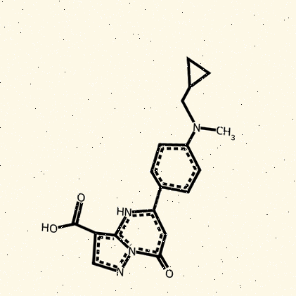 CN(CC1CC1)c1ccc(-c2cc(=O)n3ncc(C(=O)O)c3[nH]2)cc1